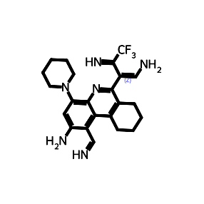 N=Cc1c(N)cc(N2CCCCC2)c2nc(/C(=C/N)C(=N)C(F)(F)F)c3c(c12)CCCC3